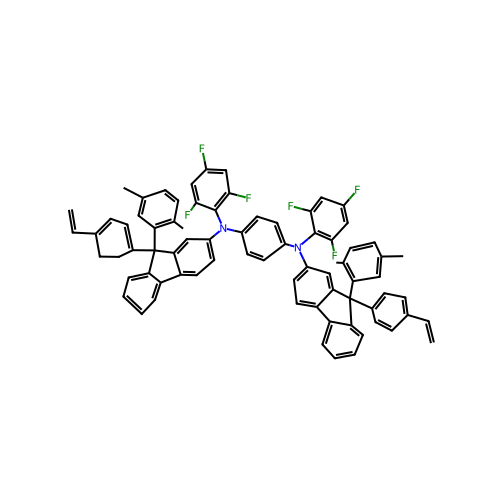 C=CC1=CC=C(C2(c3cc(C)ccc3C)c3ccccc3-c3ccc(N(c4ccc(N(c5ccc6c(c5)C(c5ccc(C=C)cc5)(c5cc(C)ccc5C)c5ccccc5-6)c5c(F)cc(F)cc5F)cc4)c4c(F)cc(F)cc4F)cc32)CC1